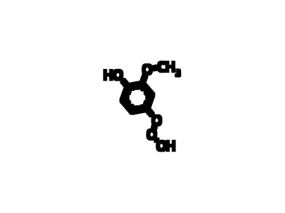 COc1cc(OOO)ccc1O